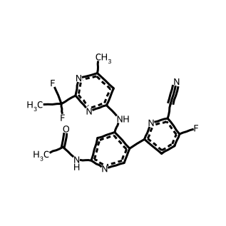 CC(=O)Nc1cc(Nc2cc(C)nc(C(C)(F)F)n2)c(-c2ccc(F)c(C#N)n2)cn1